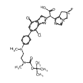 CN(CCN(C)c1ccc(-c2cc(Cl)c3cn(C(C(=O)O)c4ncn5c4C[C@@H](F)C5)nc3c2Cl)cc1)C(=O)OC(C)(C)C